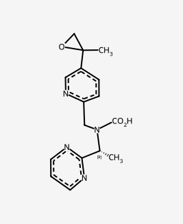 C[C@H](c1ncccn1)N(Cc1ccc(C2(C)CO2)cn1)C(=O)O